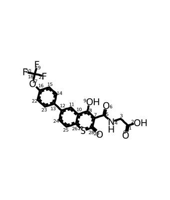 O=C(O)CNC(=O)c1c(O)c2cc(-c3ccc(OC(F)(F)F)cc3)ccc2sc1=O